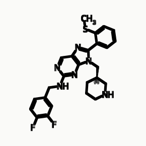 CSc1ccccc1-c1nc2cnc(NCc3ccc(F)c(F)c3)nc2n1C[C@@H]1CCCNC1